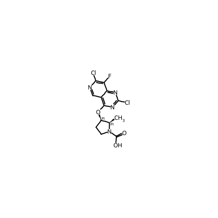 C[C@@H]1[C@H](Oc2nc(Cl)nc3c(F)c(Cl)ncc23)CCN1C(=O)O